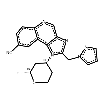 C[C@@H]1C[C@H](n2c(Cn3cccn3)nc3cnc4ccc(C#N)cc4c32)CCO1